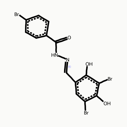 O=C(N/N=C/c1cc(Br)c(O)c(Br)c1O)c1ccc(Br)cc1